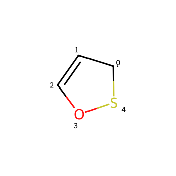 [CH]1C=COS1